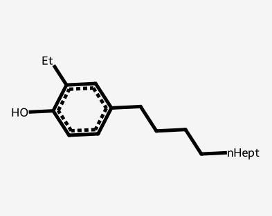 CCCCCCCCCCCc1ccc(O)c(CC)c1